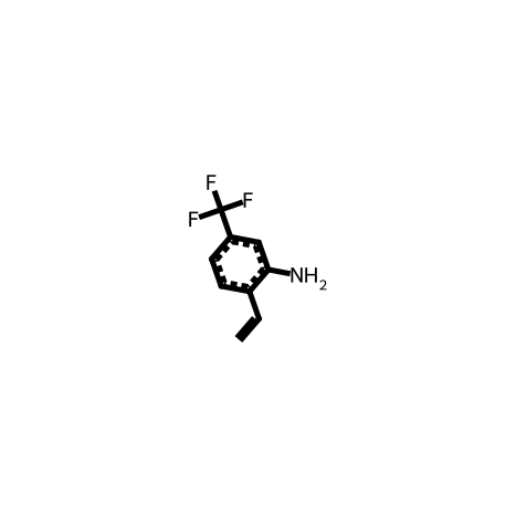 C=Cc1ccc(C(F)(F)F)cc1N